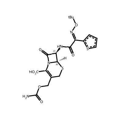 CC(C)(C)ON=C(C(=O)N[C@@H]1C(=O)N2C(C(=O)O)=C(COC(N)=O)CS[C@H]12)c1cccs1